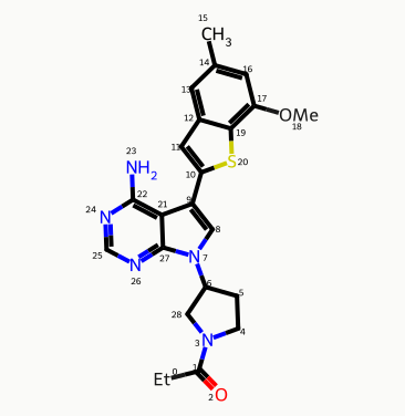 CCC(=O)N1CCC(n2cc(-c3cc4cc(C)cc(OC)c4s3)c3c(N)ncnc32)C1